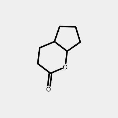 O=C1CCC2CCCC2O1